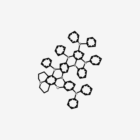 c1ccc(N(c2ccccc2)c2ccc3c(c2)Oc2c4c5c(c6c2B3c2cc3c(cc2N6c2ccccc2)N(c2ccccc2)c2cc(N(c6ccccc6)c6ccccc6)cc6c2B3c2ccccc2N6c2ccccc2)CCCN5CCC4)cc1